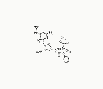 C#C[C@H]1C[C@@H](CO[P@](=O)(N[C@H](C)C(=O)OC)Oc2ccccc2)O[C@H]1n1cnc2c(NC3CC3)nc(N)nc21